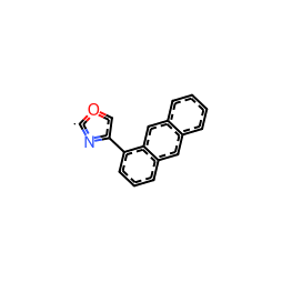 [c]1nc(-c2cccc3cc4ccccc4cc23)co1